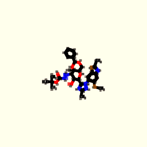 CSc1cc2nc(C)sc2cc1-n1nc(C)nc1[C@@H]1OC2COC(c3ccccc3)O[C@@H]2C(NNC(=O)OC(C)(C)C)C1O